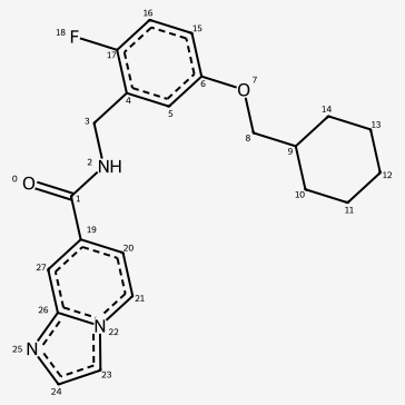 O=C(NCc1cc(OCC2CCCCC2)ccc1F)c1ccn2ccnc2c1